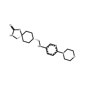 O=C1NC[C@]2(CC[C@@H](CNc3ccc(N4CCOCC4)nc3)CC2)O1